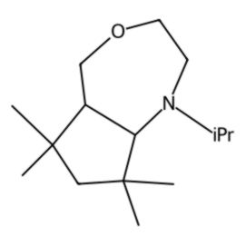 CC(C)N1CCOCC2C1C(C)(C)CC2(C)C